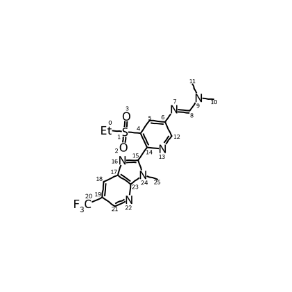 CCS(=O)(=O)c1cc(/N=C/N(C)C)cnc1-c1nc2cc(C(F)(F)F)cnc2n1C